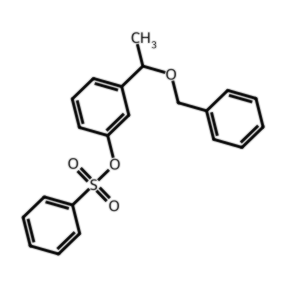 CC(OCc1ccccc1)c1cccc(OS(=O)(=O)c2ccccc2)c1